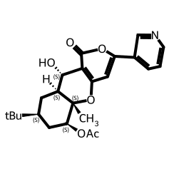 CC(=O)O[C@H]1C[C@@H](C(C)(C)C)C[C@H]2[C@H](O)c3c(cc(-c4cccnc4)oc3=O)O[C@]12C